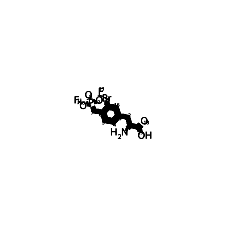 NC(Cc1ccc(CP(=O)(OF)OF)c(Br)c1)C(=O)O